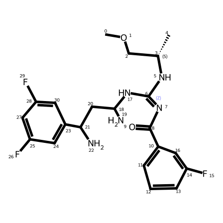 COC[C@H](C)N/C(=N/C(=O)c1cccc(F)c1)NC(N)CC(N)c1cc(F)cc(F)c1